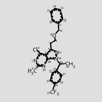 Cc1nc(Cl)c2c(CCOCc3ccccc3)nn(C(C)c3ccc(C(F)(F)F)cc3)c2n1